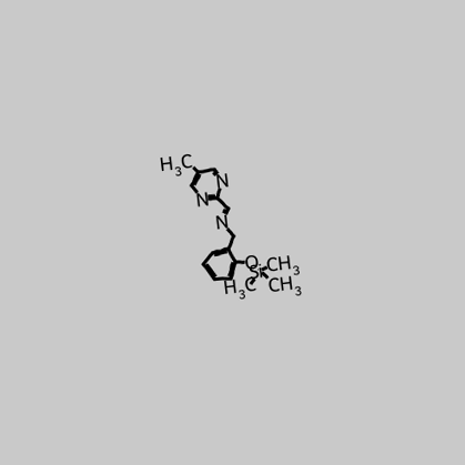 Cc1cnc(C=NCc2ccccc2O[Si](C)(C)C)nc1